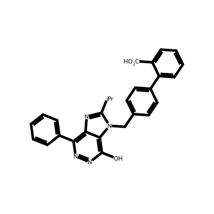 CC(C)c1nc2c(-c3ccccc3)nnc(O)c2n1Cc1ccc(-c2ccccc2C(=O)O)cc1